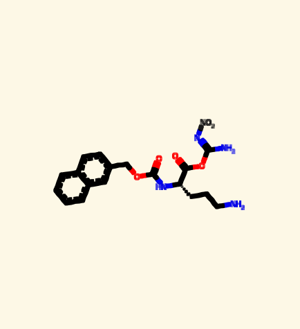 NCCC[C@H](NC(=O)OCc1ccc2ccccc2c1)C(=O)OC(N)=N[N+](=O)[O-]